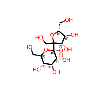 OC[C@H]1OC(CO)([C@]2(O)O[C@H](CO)[C@@H](O)[C@H](O)[C@H]2O)[C@@H](O)[C@@H]1O